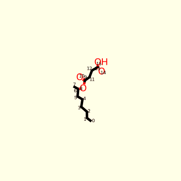 CCCCCCC(C)OC(=O)CCC(=O)O